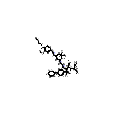 CCCCSc1ccc(/C=C/C2=CC(=C/C=C/C3=C(C#N)C(=C(C#N)C#N)OC3(C)c3ccc(C4CCCCC4)cc3)/CC(C)(C)C2)cc1OC